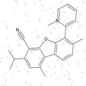 Cc1ccc2c(oc3c(C#N)c(C(C)C)cc(C)c32)c1-c1cccc[n+]1C